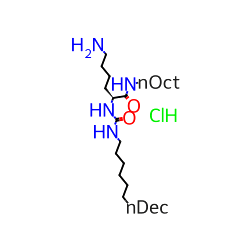 CCCCCCCCCCCCCCCCNC(=O)N[C@@H](CCCCN)C(=O)NCCCCCCCC.Cl